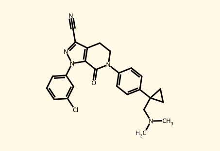 CN(C)CC1(c2ccc(N3CCc4c(C#N)nn(-c5cccc(Cl)c5)c4C3=O)cc2)CC1